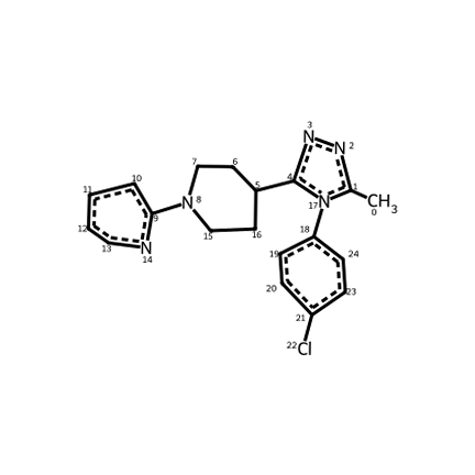 Cc1nnc(C2CCN(c3ccccn3)CC2)n1-c1ccc(Cl)cc1